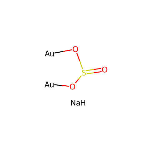 O=S([O][Au])[O][Au].[NaH]